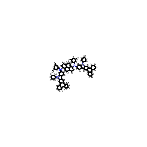 Cc1cc(C)cc(N(c2ccc3c4cc5c6ccccc6c6ccccc6c5cc4n(-c4ccccc4)c3c2)c2ccc3ccc4c(N(c5cc(C)cc(C)c5)c5ccc6c7cc8c9ccccc9c9ccccc9c8cc7n(-c7ccccc7)c6c5)ccc5ccc2c3c54)c1